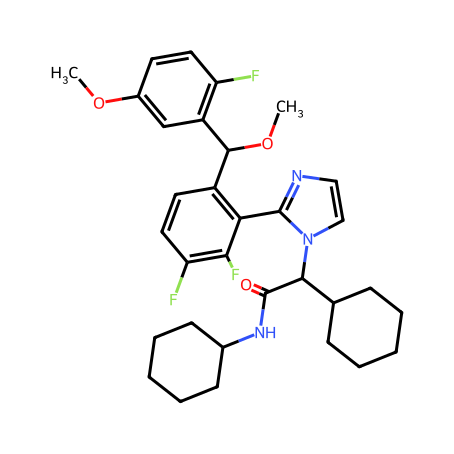 COc1ccc(F)c(C(OC)c2ccc(F)c(F)c2-c2nccn2C(C(=O)NC2CCCCC2)C2CCCCC2)c1